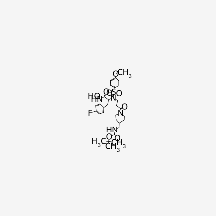 COc1ccc(S(=O)(=O)N(CCC(=O)N2CCC(CNC(=O)OC(C)(C)C)CC2)C(Cc2ccc(F)cc2)C(=O)NO)cc1